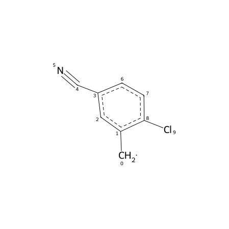 [CH2]c1cc(C#N)ccc1Cl